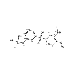 C=Cc1ccc(S(=O)(=O)c2cncc(OC(F)(F)F)c2)nc1NC